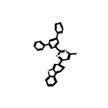 Ic1cc(-c2ccc3c(c2)sc2ccccc23)nc(-c2cc(-c3ccccc3)cc(-c3ccccc3)c2)n1